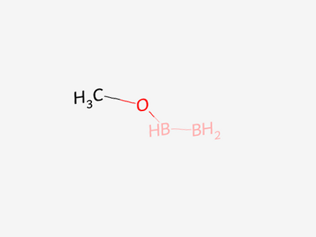 BBOC